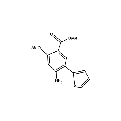 COC(=O)c1cc(-c2cccs2)c(N)cc1OC